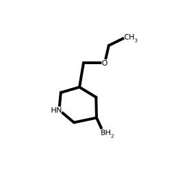 BC1CNCC(COCC)C1